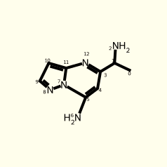 CC(N)c1cc(N)n2nccc2n1